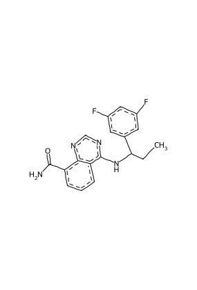 CCC(Nc1ncnc2c(C(N)=O)cccc12)c1cc(F)cc(F)c1